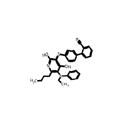 CCCCc1nc(O)c(Sc2ccc(-c3ccccc3C#N)cc2)c(O)c1N(CC)c1ccccc1